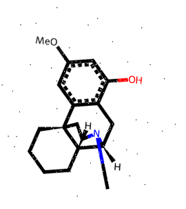 COc1cc(O)c2c(c1)[C@@]13CCCC[C@H]1[C@@H](C2)N(C)CC3